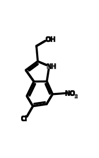 O=[N+]([O-])c1cc(Cl)cc2cc(CO)[nH]c12